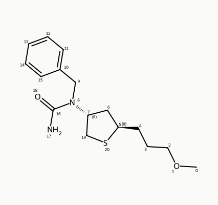 COCCC[C@@H]1C[C@@H](N(Cc2ccccc2)C(N)=O)CS1